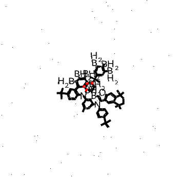 Bc1cc(C(C)(C)c2ccc3c(c2)B2c4oc5cc6c(cc5c4N(c4ccc(C(C)(C)C)cc4)c4cc(C)cc(c42)N3c2ccc(C(C)(C)C)cc2-c2c(B)c(B)c(B)c(B)c2B)C(C)(C)CCC6(C)C)cc(B)c1B